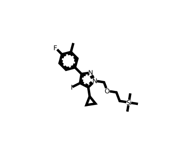 Cc1cc(-c2nn(COCC[Si](C)(C)C)c(C3CC3)c2I)ccc1F